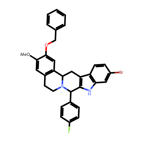 COc1cc2c(cc1OCc1ccccc1)C1Cc3c([nH]c4cc(Br)ccc34)C(c3ccc(F)cc3)N1CC2